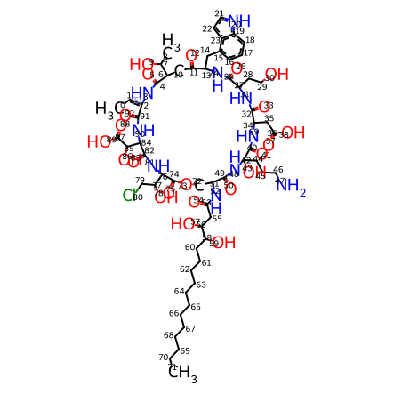 C/C=C1/NC(=O)C(C(C)O)CC(=O)C(Cc2cccc3[nH]ccc23)NC(=O)C(CCO)NC(=O)C(CC(=O)O)NC(=O)C(O)(CCCN)NC(=O)C(NC(=O)CC(O)C(O)CCCCCCCCCCCC)COC(=O)C(C(O)CCl)NC(=O)C(C(O)C(=O)O)NC1=O